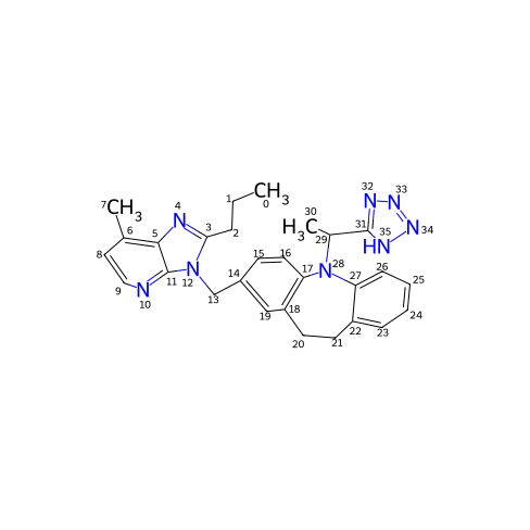 CCCc1nc2c(C)ccnc2n1Cc1ccc2c(c1)CCc1ccccc1N2C(C)c1nnn[nH]1